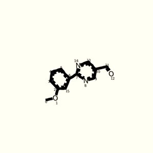 COc1cccc(-c2ncc(C=O)cn2)c1